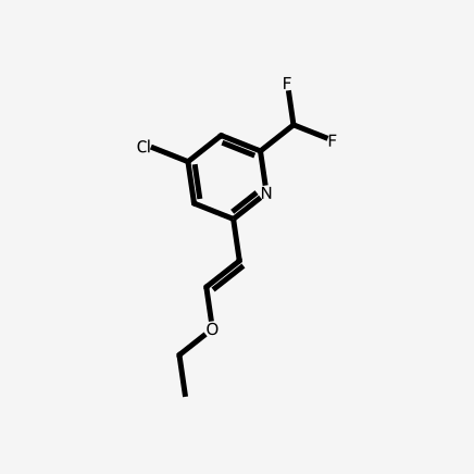 CCOC=Cc1cc(Cl)cc(C(F)F)n1